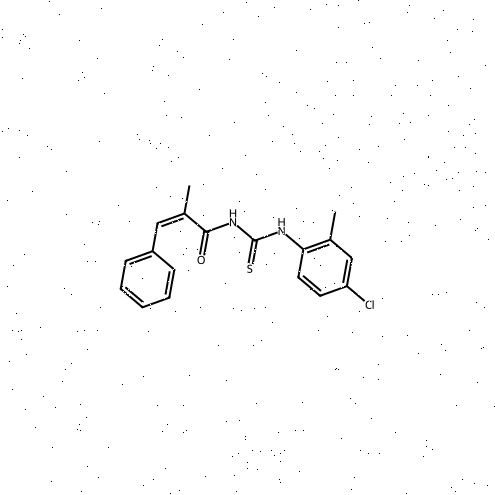 CC(=Cc1ccccc1)C(=O)NC(=S)Nc1ccc(Cl)cc1C